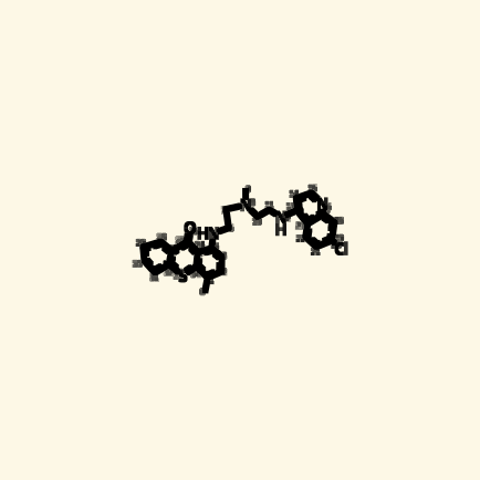 Cc1ccc(NCCN(C)CCNc2ccnc3cc(Cl)ccc23)c2c(=O)c3ccccc3sc12